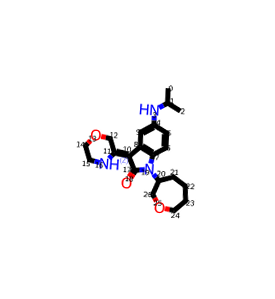 CC(C)Nc1ccc2c(c1)/C(=C1\COCCN1)C(=O)N2C1CCCCOC1